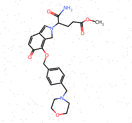 COC(=O)CCC(C(N)=O)N1C=C2C=CC(=O)C(OCc3ccc(CN4CCOCC4)cc3)=C2C1